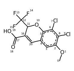 COc1cc2c(c(Cl)c1Cl)OC(C(F)(F)F)C(C(=O)O)=C2